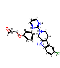 Clc1ccc2[nH]c3c(c2c1)CCN(c1ncccn1)[C@H]3c1ccc(OC[C@@H]2CO2)cc1